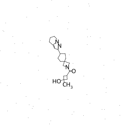 CC1(O)CC(C(=O)N2CC3(CCC(c4cc5n(n4)CCCC5)CC3)C2)C1